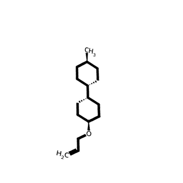 C=CCO[C@H]1CC[C@H]([C@H]2CC[C@H](C)CC2)CC1